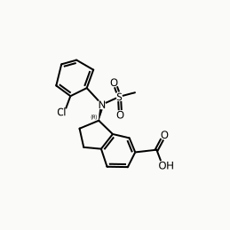 CS(=O)(=O)N(c1ccccc1Cl)[C@@H]1CCc2ccc(C(=O)O)cc21